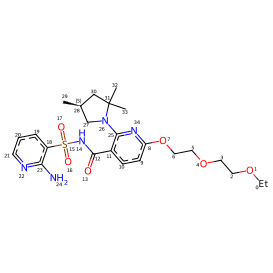 CCOCCOCCOc1ccc(C(=O)NS(=O)(=O)c2cccnc2N)c(N2C[C@@H](C)CC2(C)C)n1